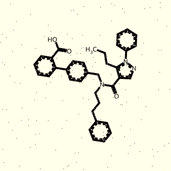 CCCc1c(C(=O)N(CCCc2ccccc2)Cc2ccc(-c3ccccc3C(=O)O)cc2)cnn1-c1ccccc1